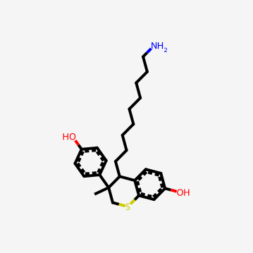 CC1(c2ccc(O)cc2)CSc2cc(O)ccc2C1CCCCCCCCCN